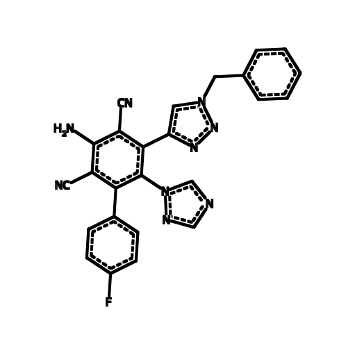 N#Cc1c(N)c(C#N)c(-c2cn(Cc3ccccc3)nn2)c(-n2cncn2)c1-c1ccc(F)cc1